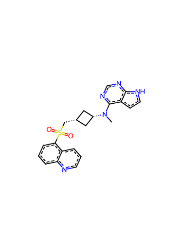 CN(c1ncnc2[nH]ccc12)[C@H]1C[C@@H](CS(=O)(=O)c2cccc3ncccc23)C1